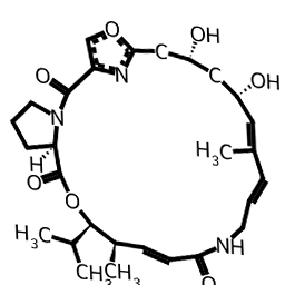 CC1=C\[C@@H](O)C[C@@H](O)Cc2nc(co2)C(=O)N2CCC[C@@H]2C(=O)O[C@H](C(C)C)[C@H](C)/C=C/C(=O)NC\C=C\1